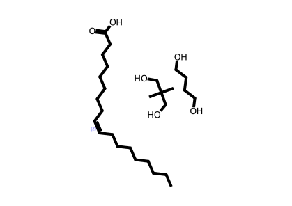 CC(C)(CO)CO.CCCCCCCC/C=C\CCCCCCCC(=O)O.OCCCCO